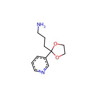 NCCCC1(c2cccnc2)OCCO1